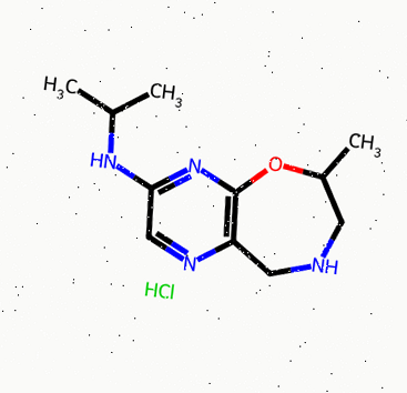 CC(C)Nc1cnc2c(n1)OC(C)CNC2.Cl